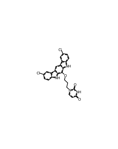 O=c1ccn(CCCOc2c3[nH]c4ccc(Cl)cc4c3cc3c2[nH]c2ccc(Cl)cc23)c(=O)[nH]1